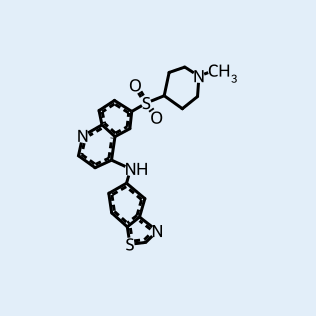 CN1CCC(S(=O)(=O)c2ccc3nccc(Nc4ccc5scnc5c4)c3c2)CC1